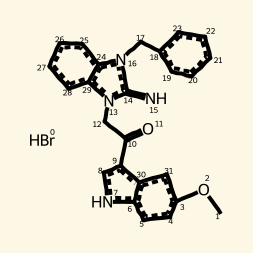 Br.COc1ccc2[nH]cc(C(=O)Cn3c(=N)n(Cc4ccccc4)c4ccccc43)c2c1